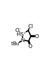 CC(C)(C)N1C(=O)C(=O)C(Cl)[SH+]1[O-]